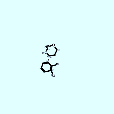 Fc1c(Cl)cccc1[C@H]1CCOPO1